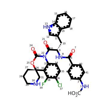 O=C(O)Nc1ccc(C(=O)N[C@@H](Cc2c[nH]c3ccccc23)C(=O)N2C(=O)O[C@]3(CCCNC3)c3c2ccc(Cl)c3F)cc1